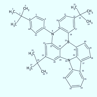 CC(C)(C)c1ccc(N2c3ccc(C(C)(C)C)cc3B3c4c2cc(C(C)(C)C)cc4-n2c4ccccc4c4cccc3c42)cc1